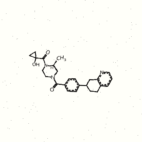 C[C@H]1CN(C(=O)c2ccc(C3CCc4cccnc4C3)cc2)CCN1C(=O)C1(O)CC1